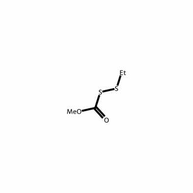 CCSSC(=O)OC